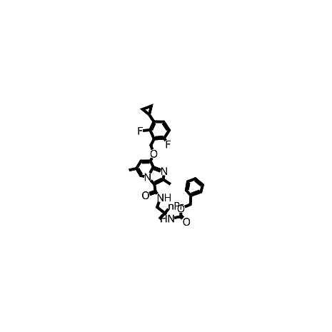 CCCC(C)(CNC(=O)c1c(C)nc2c(OCc3c(F)ccc(C4CC4)c3F)cc(C)cn12)NC(=O)OCc1ccccc1